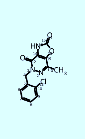 Cc1nn(Cc2ccccc2Cl)c(=O)c2[nH]c(=O)oc12